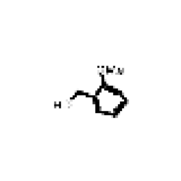 COc1cc[c]cc1CO